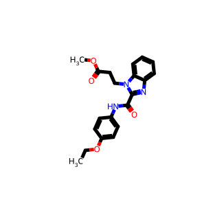 CCOc1ccc(NC(=O)c2nc3ccccc3n2CCC(=O)OC)cc1